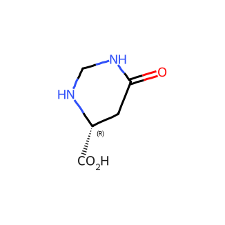 O=C1C[C@H](C(=O)O)NCN1